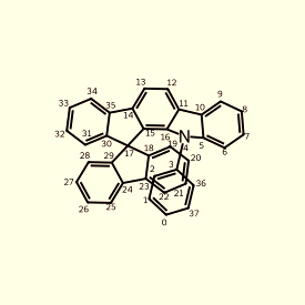 c1ccc(-n2c3ccccc3c3ccc4c(c32)C2(c3ccccc3-c3ccccc32)c2ccccc2-4)cc1